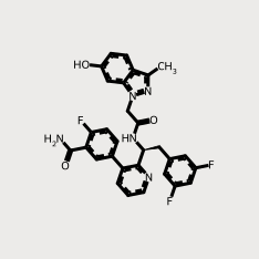 Cc1nn(CC(=O)N[C@@H](Cc2cc(F)cc(F)c2)c2ncccc2-c2ccc(F)c(C(N)=O)c2)c2cc(O)ccc12